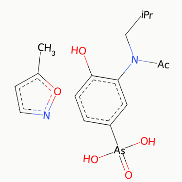 CC(=O)N(CC(C)C)c1cc([As](=O)(O)O)ccc1O.Cc1ccno1